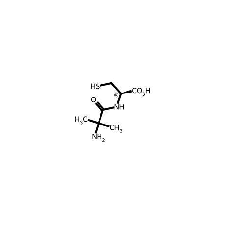 CC(C)(N)C(=O)N[C@@H](CS)C(=O)O